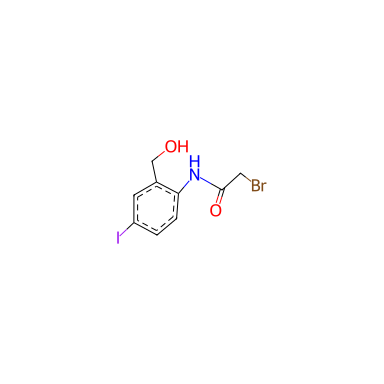 O=C(CBr)Nc1ccc(I)cc1CO